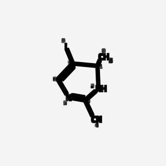 CC1NC(C#N)=NC=C1I